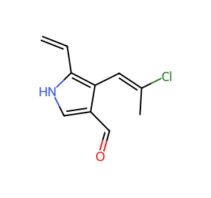 C=Cc1[nH]cc(C=O)c1/C=C(\C)Cl